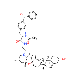 CC1=C2C[C@H]3[C@@H](CC=C4C[C@@H](O)CC[C@@]43C)[C@@H]2CC[C@]12O[C@@H]1C[C@H](C)CN(CCNC(=O)[C@H](Cc3ccc(C(=O)c4ccccc4)cc3)NC(=O)C(F)(F)F)[C@H]1C2C